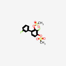 CS(=O)(=O)Oc1ccc(-c2cccc(F)c2)c(OS(C)(=O)=O)c1F